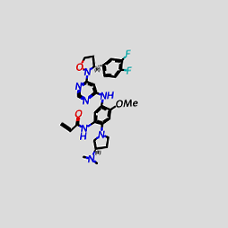 C=CC(=O)Nc1cc(Nc2cc(N3OCC[C@@H]3c3ccc(F)c(F)c3)ncn2)c(OC)cc1N1CC[C@@H](N(C)C)C1